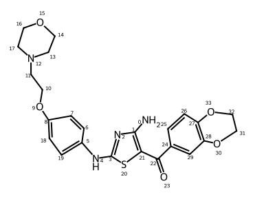 Nc1nc(Nc2ccc(OCCN3CCOCC3)cc2)sc1C(=O)c1ccc2c(c1)OCCO2